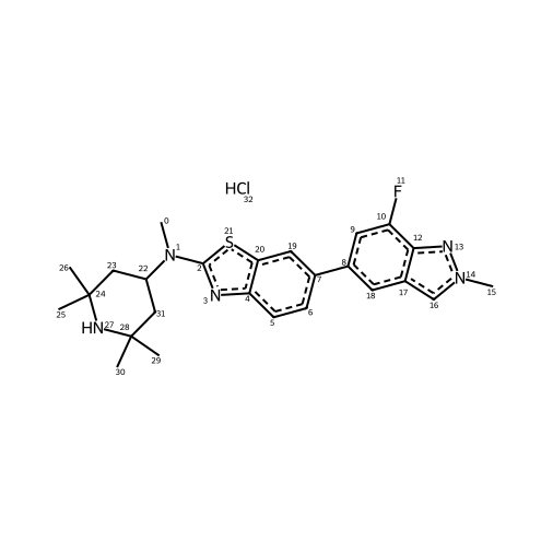 CN(c1nc2ccc(-c3cc(F)c4nn(C)cc4c3)cc2s1)C1CC(C)(C)NC(C)(C)C1.Cl